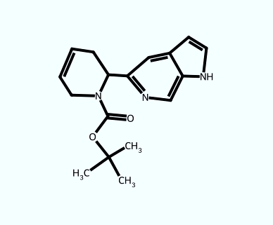 CC(C)(C)OC(=O)N1CC=CCC1c1cc2cc[nH]c2cn1